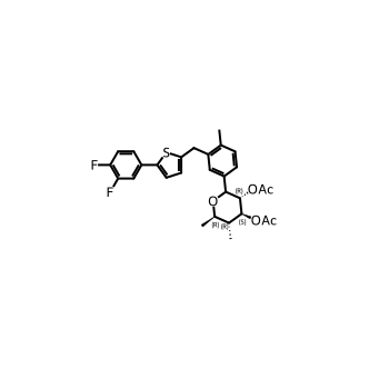 CC(=O)O[C@H]1[C@H](C)[C@@H](C)OC(c2ccc(C)c(Cc3ccc(-c4ccc(F)c(F)c4)s3)c2)[C@@H]1OC(C)=O